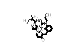 CCCN(C(=O)O)c1cccc(Cc2nn(-c3cnn(CC(C)C)c3)ccc2=O)c1C